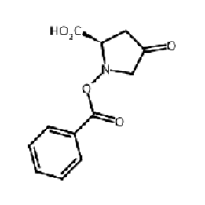 O=C1C[C@H](C(=O)O)N(OC(=O)c2ccccc2)C1